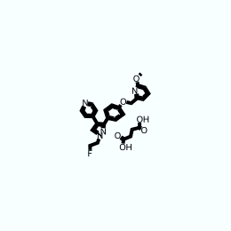 COc1cccc(COc2ccc(-c3nn(CCF)cc3-c3ccncc3)cc2)n1.O=C(O)CCC(=O)O